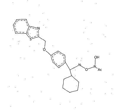 CC(=O)N(O)O[N]C(c1ccc(OCc2nc3ccccc3s2)cc1)C1CCCCC1